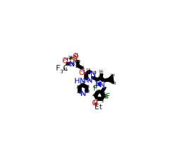 CCOc1cc(F)c(Cn2nc(-c3ncc(OCCCS(C)(=O)=NC(=O)C(F)(F)F)c(Nc4ccncc4)n3)c(C)c2C2CC2)c(F)c1